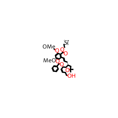 COCOc1cc(OC)cc(/C=C/C[C@@H]2CC(C)(C)OC2C(/C=C\CCO)OC(=O)c2ccccc2)c1C(=O)OCC[Si](C)(C)C